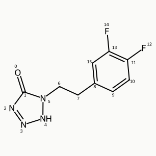 O=c1nn[nH]n1CCc1ccc(F)c(F)c1